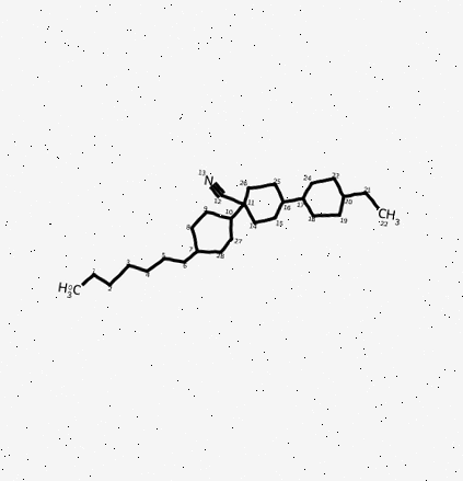 CCCCCCCC1CCC(C2(C#N)CCC(C3CCC(CC)CC3)CC2)CC1